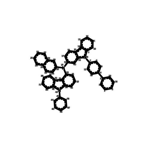 c1ccc(-c2ccc(-n3c4ccccc4c4ccc(N(c5ccc6ccccc6c5)c5cccc6c5c5ccccc5n6-c5ccccc5)cc43)cc2)cc1